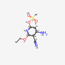 CCOc1nc(OS(C)(=O)=O)cc(N)c1C#N